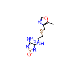 Cc1ocnc1CSCCNc1n[s+]([O-])nc1N